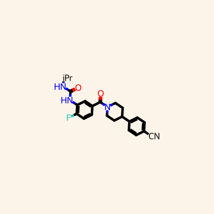 CC(C)NC(=O)Nc1cc(C(=O)N2CCC(c3ccc(C#N)cc3)CC2)ccc1F